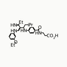 CCOc1cccc(N/C=C(\C(=N)CC)C(CC(C)C)Nc2ccc(C(=O)NCCC(=O)O)cc2)c1